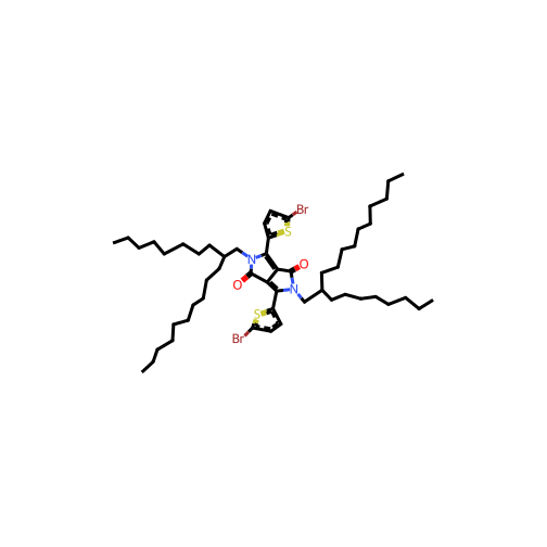 CCCCCCCCCCC(CCCCCCCC)CN1C(=O)C2=C(c3ccc(Br)s3)N(CC(CCCCCCCC)CCCCCCCCCC)C(=O)C2=C1c1ccc(Br)s1